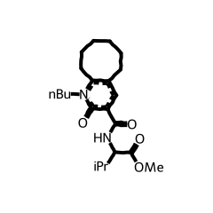 CCCCn1c2c(cc(C(=O)NC(C(=O)OC)C(C)C)c1=O)CCCCCC2